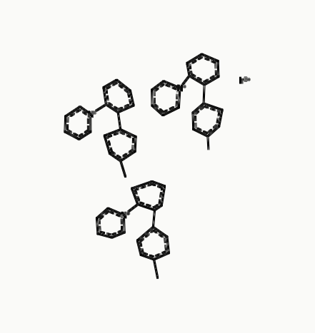 Cc1ccc(-c2ccccc2-[n+]2ccccc2)cc1.Cc1ccc(-c2ccccc2-[n+]2ccccc2)cc1.Cc1ccc(-c2ccccc2-[n+]2ccccc2)cc1.[Ir+3]